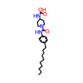 CCCCCCCCCCc1ccc(NC(=O)N2CCC(NC(=O)O)CC2)cc1